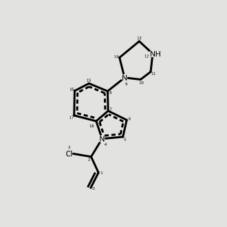 C=CC(Cl)n1ccc2c(N3CCNCC3)cccc21